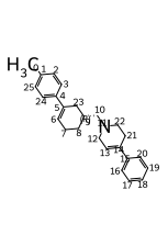 Cc1ccc(C2=CCC[C@@H](CN3CC=C(c4ccccc4)CC3)C2)cc1